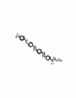 CCCCOC(=O)c1ccc(N=Nc2ccc(N=Nc3ccc(N=Nc4ccc(N(C)C)cc4)cc3)cc2)cc1